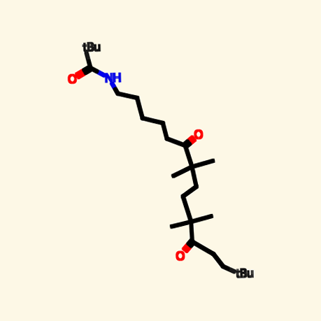 CC(C)(C)CCC(=O)C(C)(C)CCC(C)(C)C(=O)CCCCCNC(=O)C(C)(C)C